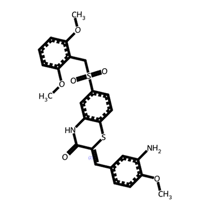 COc1ccc(/C=C2\Sc3ccc(S(=O)(=O)Cc4c(OC)cccc4OC)cc3NC2=O)cc1N